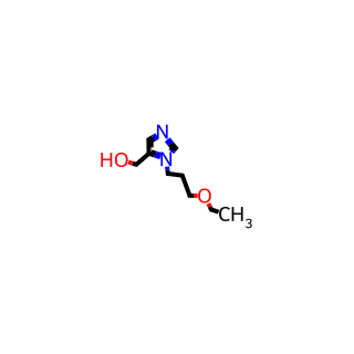 CCOCCCn1cncc1CO